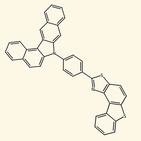 c1ccc2cc3c(cc2c1)c1c2ccccc2ccc1n3-c1ccc(-c2nc3c(ccc4sc5ccccc5c43)s2)cc1